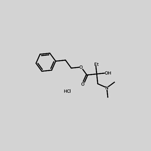 CCC(O)(CN(C)C)C(=O)OCCc1ccccc1.Cl